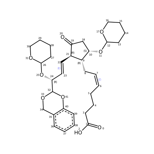 O=C(O)CCC/C=C\C[C@H]1[C@@H](OC2CCCCO2)CC(=O)[C@@H]1/C=C/[C@@H](OC1CCCCO1)C1OCc2ccccc2O1